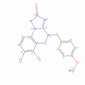 COc1ccc(CN2Cc3c(ccc(Cl)c3Cl)N3CC(=O)N=C23)cc1